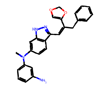 CN(c1cccc(N)c1)c1ccc2c(C=C(Cc3ccccc3)C3=COCO3)n[nH]c2c1